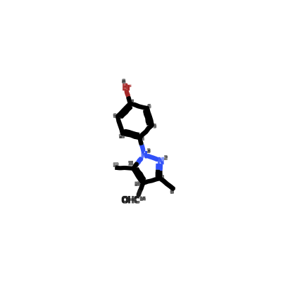 Cc1nn(-c2ccc(Br)cc2)c(C)c1C=O